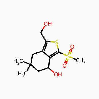 CC1(C)Cc2c(CO)sc(S(C)(=O)=O)c2C(O)C1